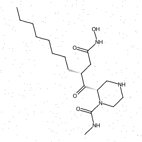 CCCCCCCC[C@H](CC(=O)NO)C(=O)[C@@H]1CNCCN1C(=O)NC